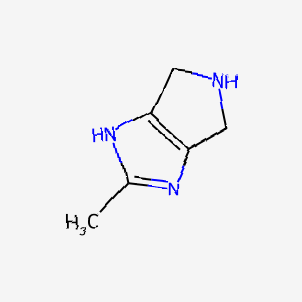 Cc1nc2c([nH]1)CNC2